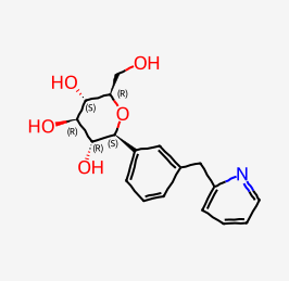 OC[C@H]1O[C@@H](c2cccc(Cc3ccccn3)c2)[C@H](O)[C@@H](O)[C@@H]1O